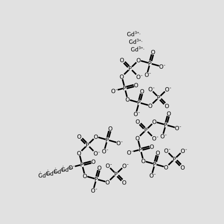 O=P([O-])([O-])OP(=O)([O-])OP(=O)([O-])OP(=O)([O-])OP(=O)([O-])[O-].O=P([O-])([O-])OP(=O)([O-])OP(=O)([O-])OP(=O)([O-])OP(=O)([O-])[O-].O=P([O-])([O-])OP(=O)([O-])OP(=O)([O-])OP(=O)([O-])OP(=O)([O-])[O-].[Gd+3].[Gd+3].[Gd+3].[Gd+3].[Gd+3].[Gd+3].[Gd+3]